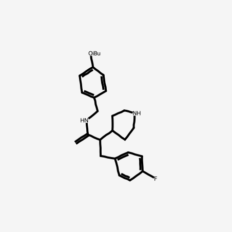 C=C(NCc1ccc(OCC(C)C)cc1)C(Cc1ccc(F)cc1)C1CCNCC1